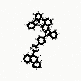 c1ccc2c(c1)cc(-c1nnc(-c3ccc(-n4c5ccccc5c5c6cccc7c8cccc9c%10ccccc%10n(c(cc54)c76)c89)cc3)o1)c1ccccc12